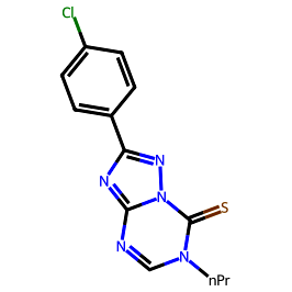 CCCn1cnc2nc(-c3ccc(Cl)cc3)nn2c1=S